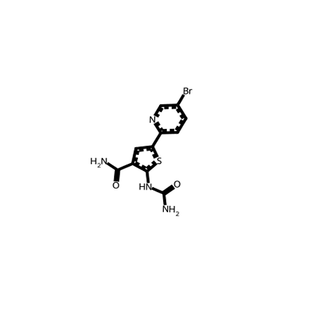 NC(=O)Nc1sc(-c2ccc(Br)cn2)cc1C(N)=O